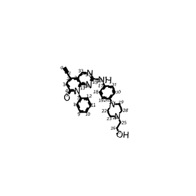 C#Cc1cc(=O)n(-c2ccccc2)c2nc(Nc3ccc(N4CCN(CCO)CC4)cc3)ncc12